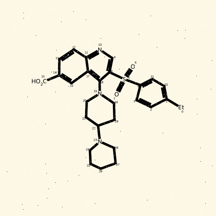 CCc1ccc(S(=O)(=O)c2cnc3ccc(C(=O)O)cc3c2N2CCC(N3CCCCC3)CC2)cc1